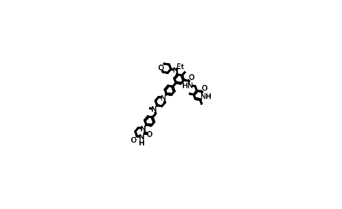 CCN(c1cc(-c2ccc(N3CCC(N(C)Cc4ccc(N5CCC(=O)NC5=O)cc4)CC3)cc2)cc(C(=O)NCc2c(C)cc(C)[nH]c2=O)c1C)C1CCOCC1